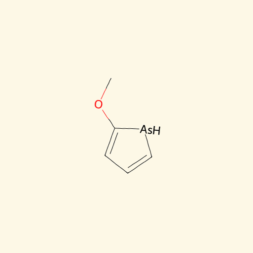 COC1=CC=C[AsH]1